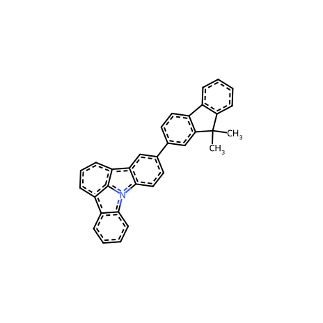 CC1(C)c2ccccc2-c2ccc(-c3ccc4c(c3)c3cccc5c6ccccc6n4c53)cc21